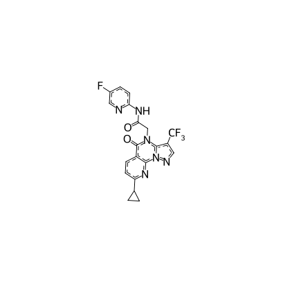 O=C(Cn1c(=O)c2ccc(C3CC3)nc2n2ncc(C(F)(F)F)c12)Nc1ccc(F)cn1